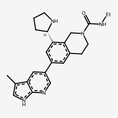 CCNC(=O)N1CCc2cc(-c3cnc4[nH]cc(C)c4c3)cc([C@@H]3CCCN3)c2C1